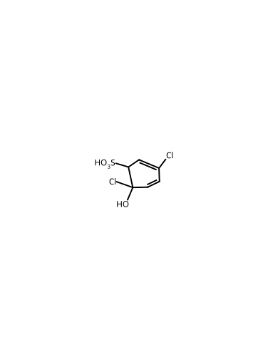 O=S(=O)(O)C1C=C(Cl)C=CC1(O)Cl